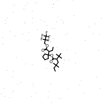 CCC(C(=O)OCC(F)(F)C(F)(F)F)C1(OC(=O)C(CC(C)(C)CC)C(C)(C)C)CCCC1